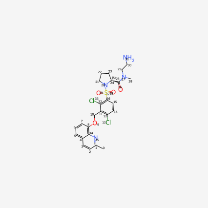 Cc1ccc2cccc(OCc3c(Cl)ccc(S(=O)(=O)N4CCC[C@H]4C(=O)N(C)CCN)c3Cl)c2n1